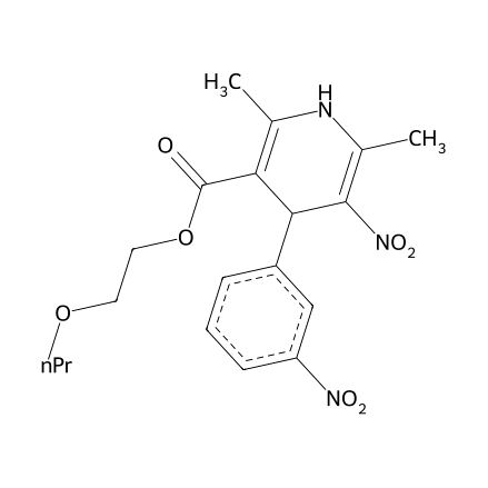 CCCOCCOC(=O)C1=C(C)NC(C)=C([N+](=O)[O-])C1c1cccc([N+](=O)[O-])c1